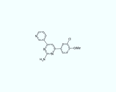 COc1ccc(-c2cc(-c3cccnc3)nc(N)n2)cc1Cl